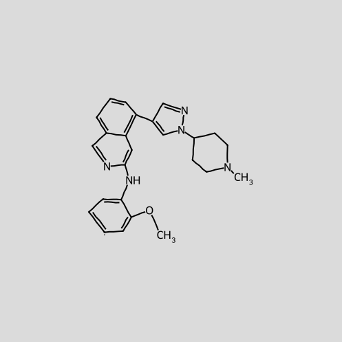 COc1c[c]ccc1Nc1cc2c(-c3cnn(C4CCN(C)CC4)c3)cccc2cn1